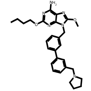 CCCCOc1nc(N)c2nc(OC)n(Cc3cccc(-c4cccc(CN5CCCC5)c4)c3)c2n1